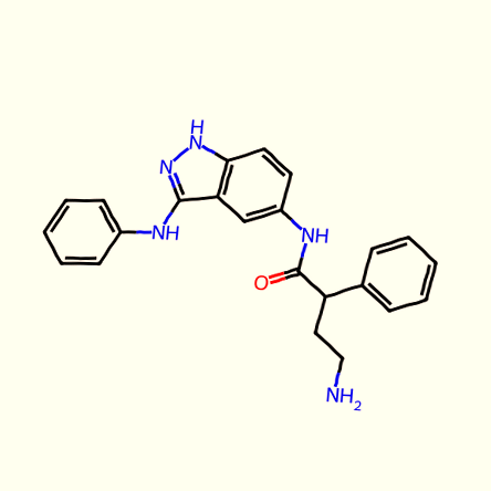 NCCC(C(=O)Nc1ccc2[nH]nc(Nc3ccccc3)c2c1)c1ccccc1